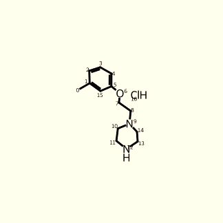 Cc1cccc(OCCN2CCNCC2)c1.Cl